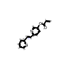 C=CC(=O)Oc1ccc(/C=C/c2ccccn2)nc1